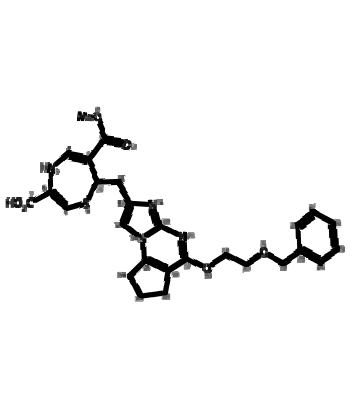 COC(=O)C1=CNC(C(=O)O)=CSC1Cc1cn2c3c(c(OCCOCc4ccccc4)nc2n1)CCC3